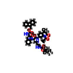 Cc1cc(=O)n(C(=O)C2CC2)c2cc(NC(=O)[C@H](CCCCNC(=O)OC(C)(C)C)NC(=O)[C@H](CC3CCCCC3)NC(=O)OCC3c4ccccc4-c4ccccc43)ccc12